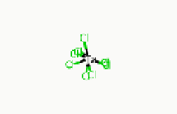 [Cl][Ta]([Cl])([Cl])([Cl])([Cl])([Cl])([Cl])[Cl]